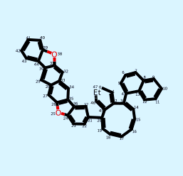 C/C=c1/c(-c2cccc3ccccc23)ccccccc(-c2ccc3oc4cc5cc6c(cc5cc4c3c2)oc2ccccc26)/c1=C/CC